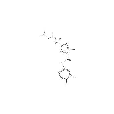 Cn1cc(S(=O)(=O)NCC(F)F)cc1C(=O)Nc1ccc(F)c(F)c1